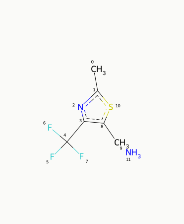 Cc1nc(C(F)(F)F)c(C)s1.N